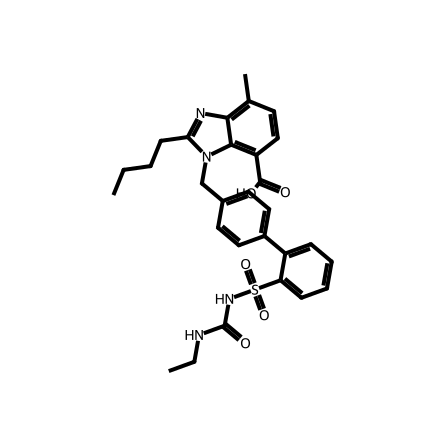 CCCCc1nc2c(C)ccc(C(=O)O)c2n1Cc1ccc(-c2ccccc2S(=O)(=O)NC(=O)NCC)cc1